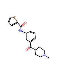 CN1CCC(C(=O)c2cccc(NC(=O)c3cccs3)c2)CC1